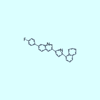 Fc1ccc(-c2ccc3cc(-c4ccc(-c5cccc6ccccc56)nc4)cnc3c2)cc1